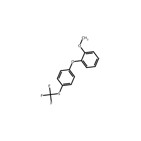 COc1c[c]ccc1Oc1ccc(SC(F)(F)F)cc1